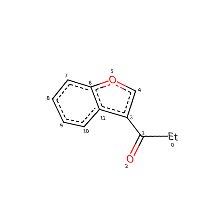 CCC(=O)c1coc2ccccc12